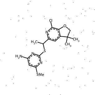 CSc1cc(N)nc(SC(C)c2cc3c(c(Cl)n2)OCC3(C)C)n1